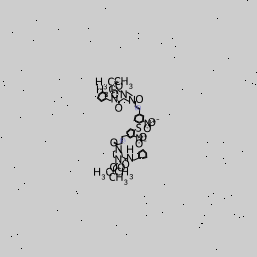 CC(C)(C)OC(=O)N1CCN(C(=O)/C=C/c2ccc(Sc3ccc(/C=C/C(=O)N4CCN(C(=O)OC(C)(C)C)C(C(=O)NCc5ccccc5)C4)cc3[N+](=O)[O-])c([N+](=O)[O-])c2)CC1C(=O)NCc1ccccc1